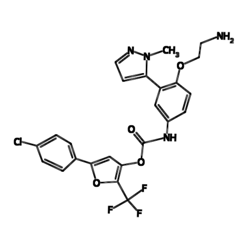 Cn1nccc1-c1cc(NC(=O)Oc2cc(-c3ccc(Cl)cc3)oc2C(F)(F)F)ccc1OCCN